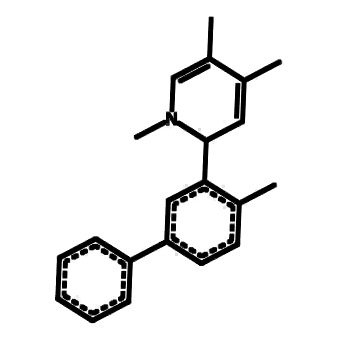 CC1=CC(c2cc(-c3ccccc3)ccc2C)N(C)C=C1C